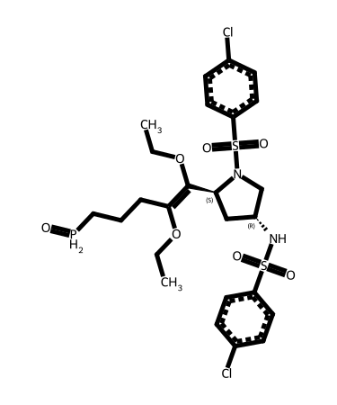 CCOC(CCC[PH2]=O)=C(OCC)[C@@H]1C[C@@H](NS(=O)(=O)c2ccc(Cl)cc2)CN1S(=O)(=O)c1ccc(Cl)cc1